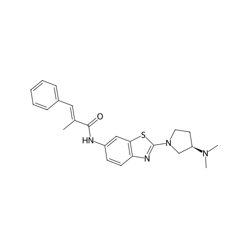 C/C(=C\c1ccccc1)C(=O)Nc1ccc2nc(N3CC[C@@H](N(C)C)C3)sc2c1